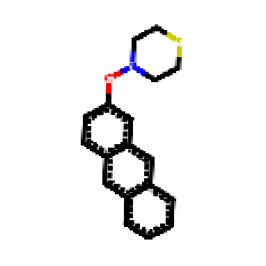 [c]1c(ON2CCSCC2)ccc2cc3ccccc3cc12